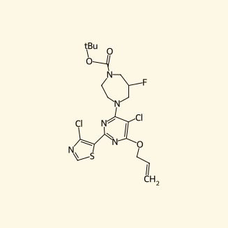 C=CCOc1nc(-c2scnc2Cl)nc(N2CCN(C(=O)OC(C)(C)C)CC(F)C2)c1Cl